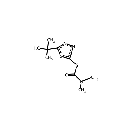 CN(C)C(=O)Sc1nnc(C(C)(C)C)s1